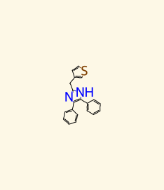 c1ccc(-c2nc(Cc3ccsc3)[nH]c2-c2ccccc2)cc1